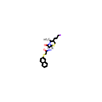 O=C(CSc1ccc2ccccc2c1)N[C@@H]1C(=O)N2C(C(=O)O)=C(/C=C/CI)CS[C@H]12